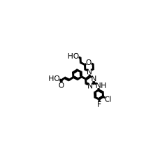 O=C(O)/C=C/c1cccc(-c2cnc(Nc3ccc(F)c(Cl)c3)nc2N2CCOC(CCO)C2)c1